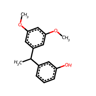 COc1cc(OC)cc(C(C)c2cccc(O)c2)c1